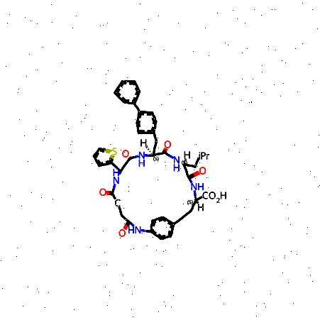 CC(C)C[C@@H]1NC(=O)[C@H](Cc2ccc(-c3ccccc3)cc2)NC(=O)C(c2cccs2)NC(=O)CCC(=O)Nc2ccc(cc2)C[C@@H](C(=O)O)NC1=O